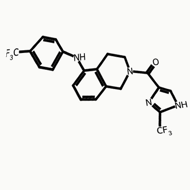 O=C(c1c[nH]c(C(F)(F)F)n1)N1CCc2c(cccc2Nc2ccc(C(F)(F)F)cc2)C1